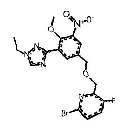 CCn1cnc(-c2cc(COCc3nc(Br)ccc3F)cc([N+](=O)[O-])c2OC)n1